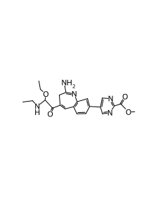 CCNC(OCC)C(=O)C1=Cc2ccc(-c3cnc(C(=O)OC)nc3)cc2N=C(N)C1